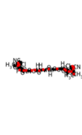 CN(C)[C@H]1Cc2c(C#N)cc(Cl)cc2[C@@H]1Oc1ccc(S(=O)(=O)NCCOCCOCCNC(=O)NCCCCNC(=O)NCCOCCOCCNS(=O)(=O)c2ccc(O[C@H]3c4cc(Cl)cc(C#N)c4C[C@@H]3N(C)C)c(F)c2)cc1F